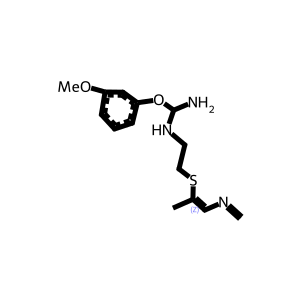 C=N/C=C(/C)SCCNC(N)Oc1cccc(OC)c1